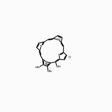 CCCCc1c(CCCC)c2c(CCCC)c3nc(cc4ccc(cc5nc(cc1n2CCCC)C=C5)[nH]4)C=C3.[Cr]